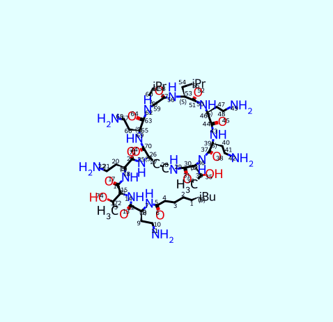 CC[C@H](C)CCCCC(=O)N[C@@H](CCN)C(=O)N[C@H](C(=O)N[C@@H](CCN)C(=O)N[C@H]1CCNC(=O)[C@H](C(C)O)NC(=O)[C@H](CCN)NC(=O)[C@H](CCN)NC(=O)[C@H](CC(C)C)NC(=O)[C@@H](CC(C)C)NC(=O)[C@H](CCN)NC1=O)C(C)O